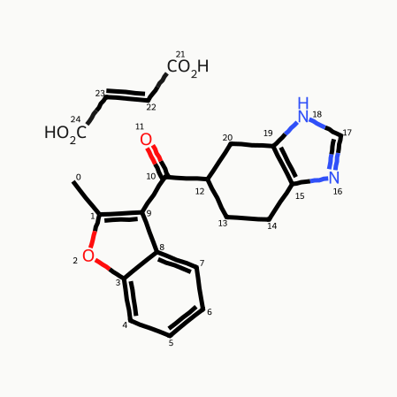 Cc1oc2ccccc2c1C(=O)C1CCc2nc[nH]c2C1.O=C(O)C=CC(=O)O